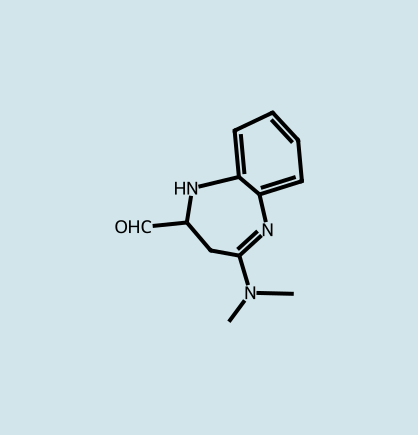 CN(C)C1=Nc2ccccc2NC(C=O)C1